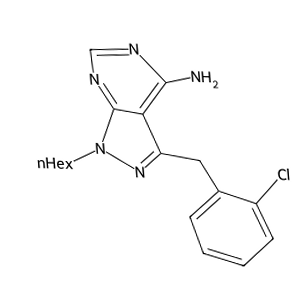 CCCCCCn1nc(Cc2ccccc2Cl)c2c(N)ncnc21